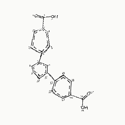 O=C(O)c1ccc(-c2c[c]cc(-c3ccc(C(=O)O)cc3)c2)cc1